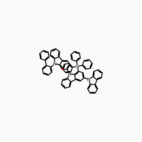 c1ccc(-c2ccccc2-n2c3ccccc3c3ccc(-n4c5ccccc5c5cc(-n6c7ccccc7c7ccccc76)cc([Si](c6ccccc6)(c6ccccc6)c6ccccc6)c54)cc32)cc1